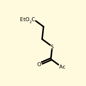 CCOC(=O)CCSC(=O)C(C)=O